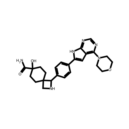 NC(=O)C1(O)CCC2(CC1)CNC2c1ccc(-c2cc3c(N4CCOCC4)ncnc3[nH]2)cc1